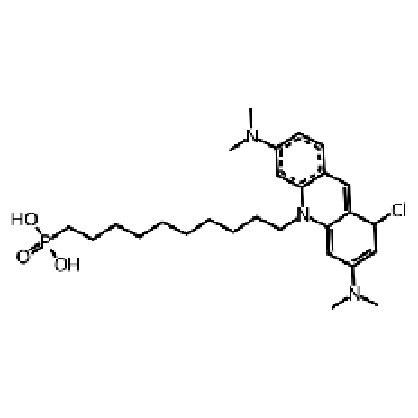 CN(C)C1=CC(Cl)C2=Cc3ccc(N(C)C)cc3N(CCCCCCCCCCP(=O)(O)O)C2=C1